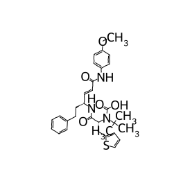 COc1ccc(NC(=O)/C=C/[C@H](CCc2ccccc2)NC(=O)[C@H](Cc2cccs2)N(C(=O)O)C(C)(C)C)cc1